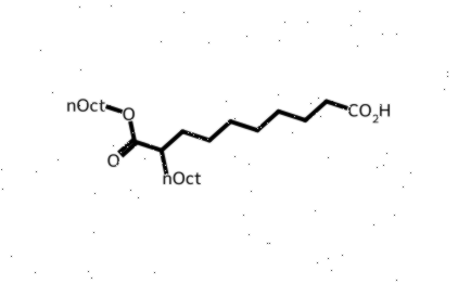 CCCCCCCCOC(=O)C(CCCCCCCC)CCCCCCCC(=O)O